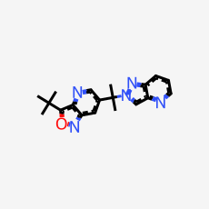 CC(C)(C)c1onc2cc(C(C)(C)n3cc4ncccc4n3)cnc12